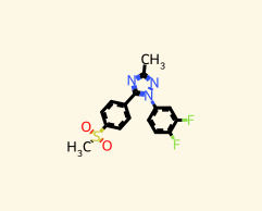 Cc1nc(-c2ccc(S(C)(=O)=O)cc2)n(-c2ccc(F)c(F)c2)n1